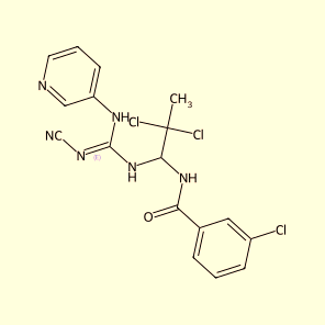 CC(Cl)(Cl)C(NC(=O)c1cccc(Cl)c1)N/C(=N/C#N)Nc1cccnc1